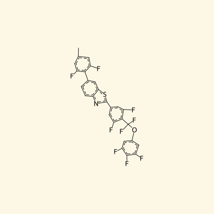 Cc1cc(F)c(-c2ccc3nc(-c4cc(F)c(C(F)(F)Oc5cc(F)c(F)c(F)c5)c(F)c4)sc3c2)c(F)c1